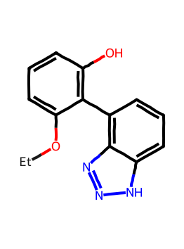 [CH2]COc1cccc(O)c1-c1cccc2[nH]nnc12